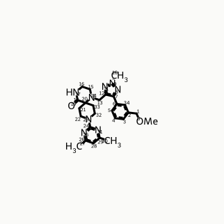 COCc1cccc(-c2nn(C)nc2CN2CCNC(=O)C23CCN(c2nc(C)cc(C)n2)CC3)c1